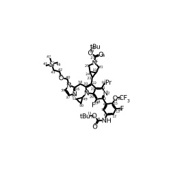 CC(C)c1nc(-c2cc(NC(=O)OC(C)(C)C)cc(F)c2OC(F)(F)F)c(F)c2c1c(C1C3CN(C(=O)OC(C)(C)C)CC31)c(Cc1nccn1COCC[Si](C)(C)C)n2C1CC1